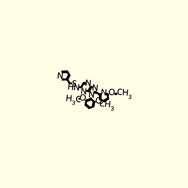 CCOc1cccc(-c2nc3ncc(NSCc4cccnc4)nc3n2-c2c(OC)cccc2OC)n1